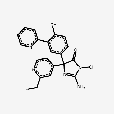 CN1C(=O)C(c2ccnc(CF)c2)(c2ccc(O)c(-c3ccccn3)c2)N=C1N